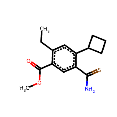 CCc1cc(C2CCC2)c(C(N)=S)cc1C(=O)OC